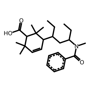 CCC(CC(CC)N(C)C(=O)c1ccccc1)C1C=CC(C)(C)C(C(=O)O)C1(C)C